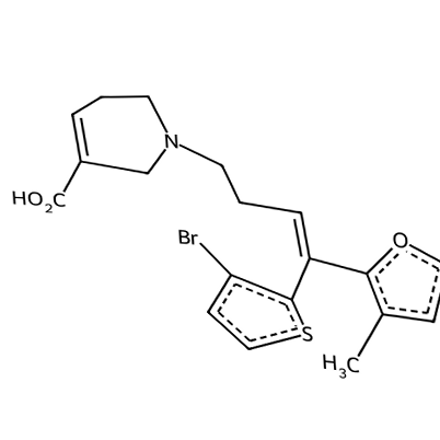 Cc1ccoc1C(=CCCN1CCC=C(C(=O)O)C1)c1sccc1Br